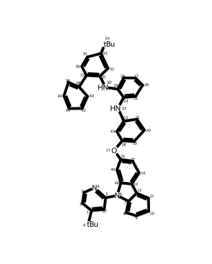 CC(C)(C)c1ccnc(-n2c3ccccc3c3ccc(Oc4cccc(Nc5ccccc5Nc5cc(C(C)(C)C)ccc5-c5ccccc5)c4)cc32)c1